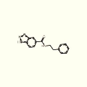 O=C(NCCc1ccccc1)c1ccc2[nH]nnc2c1